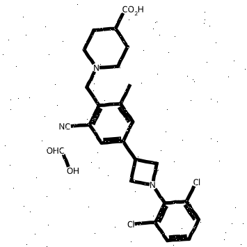 Cc1cc(C2CN(c3c(Cl)cccc3Cl)C2)cc(C#N)c1CN1CCC(C(=O)O)CC1.O=CO